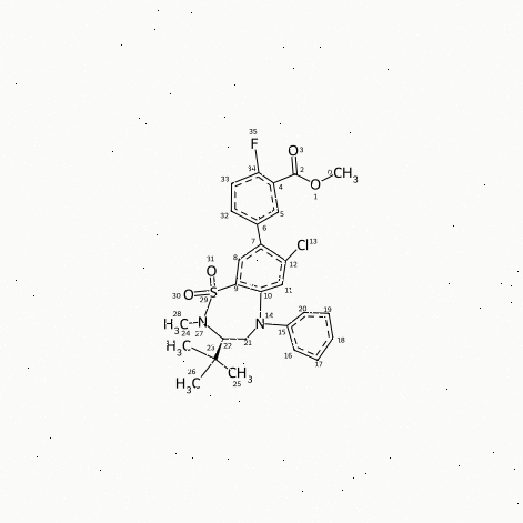 COC(=O)c1cc(-c2cc3c(cc2Cl)N(c2ccccc2)C[C@@H](C(C)(C)C)N(C)S3(=O)=O)ccc1F